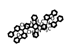 Cc1ccc(-c2ccccc2)cc1C(c1ccc2c(c1)c1c3c4ccccc4n4c5ccc(N(c6cc(-c7ccccc7)ccc6C)c6c(C)ccc7c6oc6ccccc67)cc5c(c5c6ccccc6n2c51)c34)c1c(C)ccc2c1oc1ccccc12